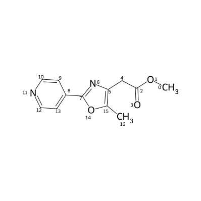 COC(=O)Cc1nc(-c2ccncc2)oc1C